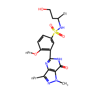 CCCOc1ccc(S(=O)(=O)NC(CC)CCO)cc1-c1nc2c(CCC)nn(C)c2c(=O)[nH]1